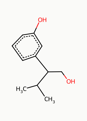 CC(C)C(CO)c1cccc(O)c1